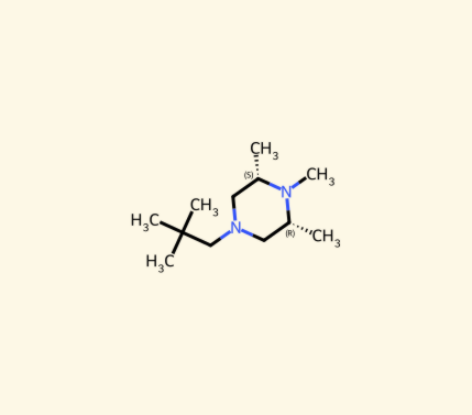 C[C@@H]1CN(CC(C)(C)C)C[C@H](C)N1C